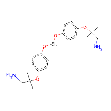 CC(C)(CN)Oc1ccc(OBOc2ccc(OC(C)(C)CN)cc2)cc1